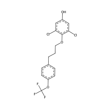 Oc1cc(Cl)c(OCCCc2ccc(OC(F)(F)F)cc2)c(Cl)c1